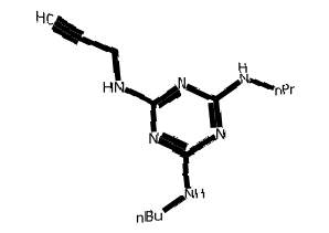 C#CCNc1nc(NCCC)nc(NCCCC)n1